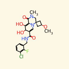 CO[C@H]1C[C@@]2(CN(C)C(=O)C3=C(O)C(O)C(C(=O)NCc4cccc(Cl)c4F)=CN32)C1